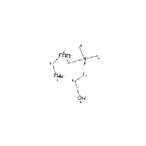 CC(=O)OCC(=O)[O-].C[N+](C)(C)CCO